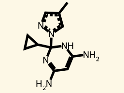 Cc1cnn(C2(C3CC3)N=C(N)C=C(N)N2)c1